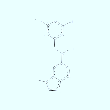 CCc1csc2cnc(C(C)Sc3nc(N)cc(SC)n3)cc12